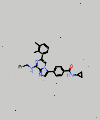 Cc1cccc(-c2cn3c(-c4ccc(C(=O)NC5CC5)cc4)cnc3c(NCC(C)C)n2)c1C